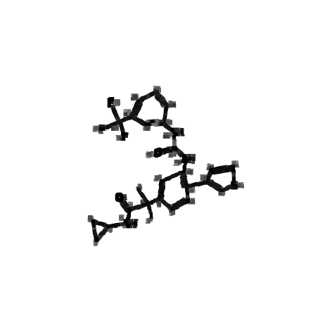 CC(C)(C(=O)NC1CC1)c1ccc(-c2ccsc2)c(NC(=O)Nc2cccc(C(F)(F)F)c2)c1